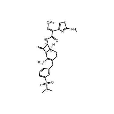 CON=C(C(=O)N[C@@H]1C(=O)N2C(C(=O)O)=C(Cc3cccc(S(=O)(=O)N(C)C)c3)CS[C@H]12)c1csc(N)n1